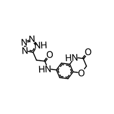 O=C(Cc1nnn[nH]1)Nc1ccc2c(c1)NC(=O)CO2